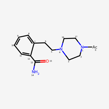 CC(=O)N1CCN(CCc2ccccc2C(N)=O)CC1